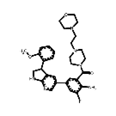 COc1ccccc1C1CNc2ncc(-c3cc(F)c(N)c(C(=O)N4CCN(CCN5CCOCC5)CC4)c3)cc21